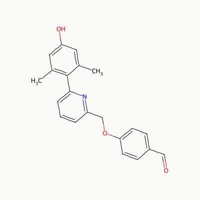 Cc1cc(O)cc(C)c1-c1cccc(COc2ccc(C=O)cc2)n1